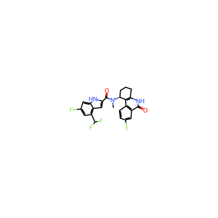 CN(C(=O)c1cc2c(C(F)F)cc(F)cc2[nH]1)[C@H]1CCCc2[nH]c(=O)c3cc(F)ccc3c21